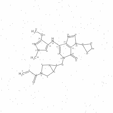 C=CC(=O)N1CC2C(C1)C2Cn1cc(Nc2cn(C)nc2OC)c2ncn(C3CCC3)c2c1=O